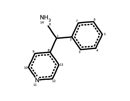 CC(c1ccccc1)c1ccncc1.N